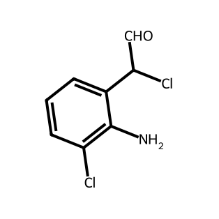 Nc1c(Cl)cccc1C(Cl)C=O